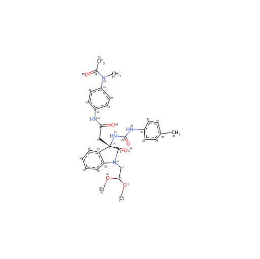 CCOC(CN1C(=O)[C@@](CC(=O)Nc2ccc(N(C)C(=O)C(F)(F)F)cc2)(NC(=O)Nc2ccc(C)cc2)c2ccccc21)OCC